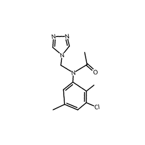 CC(=O)N(Cn1cnnc1)c1cc(C)cc(Cl)c1C